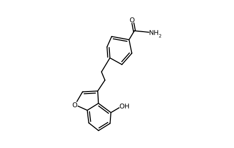 NC(=O)c1ccc(CCc2coc3cccc(O)c23)cc1